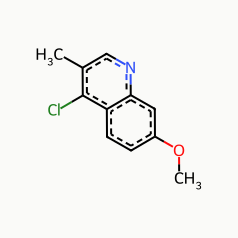 COc1ccc2c(Cl)c(C)cnc2c1